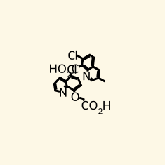 Cc1cnc2c(C(=O)O)c(Cl)ccc2c1.O=C(O)COc1ccc(Cl)c2cccnc12